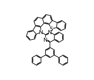 c1ccc(-c2cc(-c3ccccc3)cc(-c3nc(-n4c5ccccc5c5ccc6ccc7c8ccccc8sc7c6c54)nc4ccccc34)c2)cc1